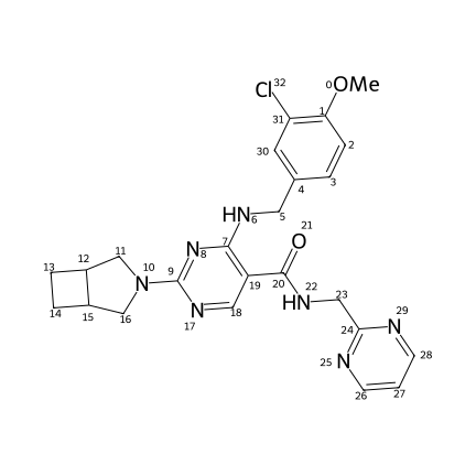 COc1ccc(CNc2nc(N3CC4CCC4C3)ncc2C(=O)NCc2ncccn2)cc1Cl